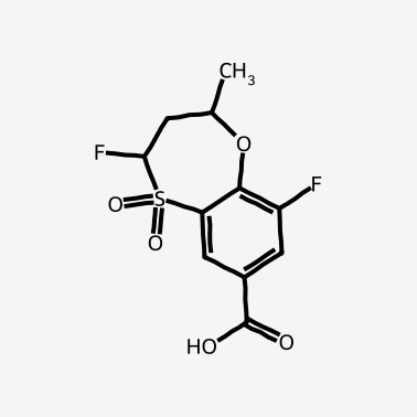 CC1CC(F)S(=O)(=O)c2cc(C(=O)O)cc(F)c2O1